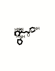 O=C(CCc1n[nH]c2ccnc(NC3CCCCC3)c12)N1CCNCC1